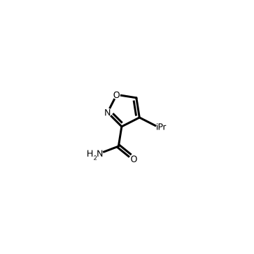 CC(C)c1conc1C(N)=O